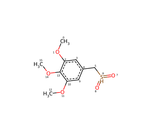 COc1cc(C[SH](=O)=O)cc(OC)c1OC